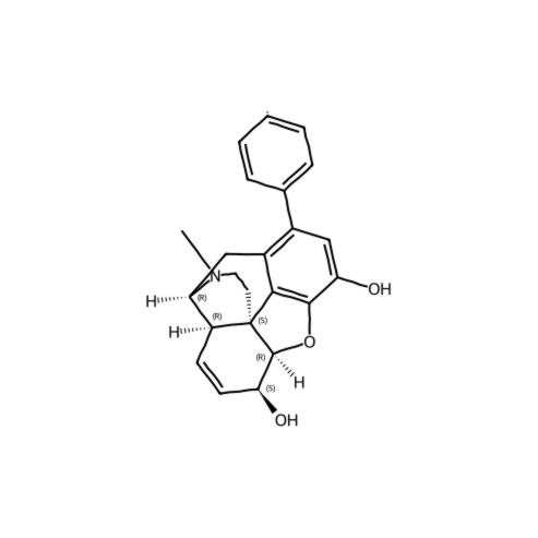 CN1CC[C@]23c4c5c(-c6cc[c]cc6)cc(O)c4O[C@H]2[C@@H](O)C=C[C@H]3[C@H]1C5